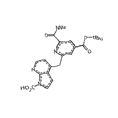 CNC(=O)c1cc(C(=O)OC(C)(C)C)cc(Cc2ccnc3c2ccn3C(=O)O)n1